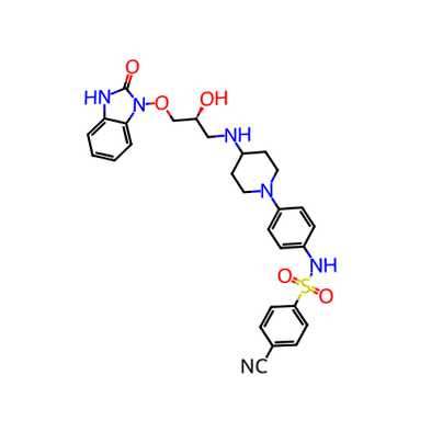 N#Cc1ccc(S(=O)(=O)Nc2ccc(N3CCC(NC[C@H](O)COn4c(=O)[nH]c5ccccc54)CC3)cc2)cc1